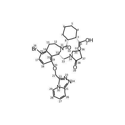 O=C(O)[C@H]1CCCC[C@H]1C(=O)N1CCc2c(Br)ccc(OCc3nnc4ccccn34)c2[C@H]1CN1CCCC1=O